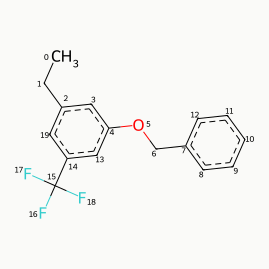 CCc1cc(OCc2ccccc2)cc(C(F)(F)F)c1